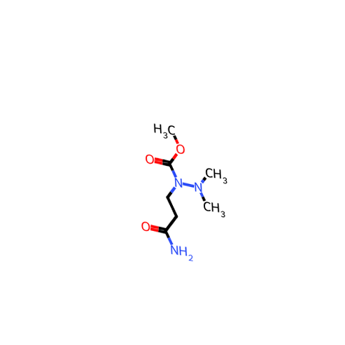 COC(=O)N(CCC(N)=O)N(C)C